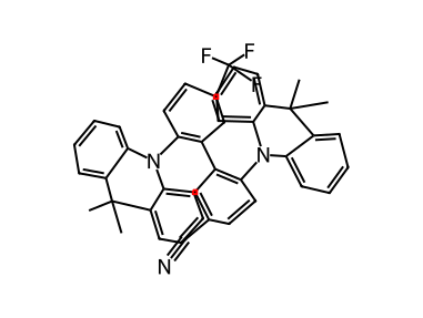 CC1(C)c2ccccc2N(c2ccc(C#N)cc2-c2cc(C(F)(F)F)ccc2N2c3ccccc3C(C)(C)c3ccccc32)c2ccccc21